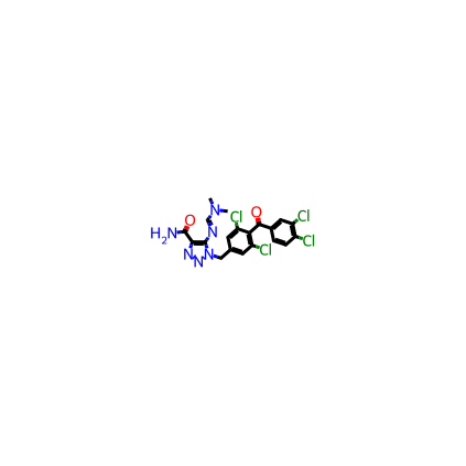 CN(C)C=Nc1c(C(N)=O)nnn1Cc1cc(Cl)c(C(=O)c2ccc(Cl)c(Cl)c2)c(Cl)c1